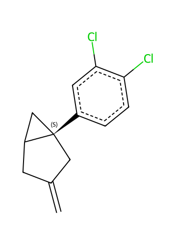 C=C1CC2C[C@]2(c2ccc(Cl)c(Cl)c2)C1